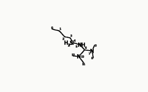 CCCC[SiH2]NC(N(C)C)N(C)C